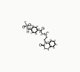 CN(CCN1C(=O)CCc2ccccc21)CC(=O)c1ccc(NS(C)(=O)=O)cc1